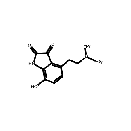 CCCN(CCC)CCc1ccc(O)c2c1C(=O)C(=O)N2